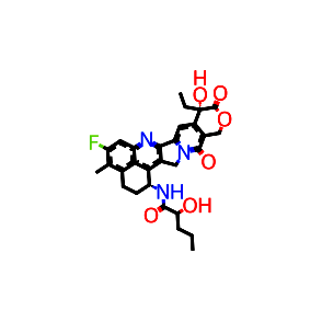 CCCC(O)C(=O)N[C@H]1CCc2c(C)c(F)cc3nc4c(c1c23)Cn1c-4cc2c(c1=O)COC(=O)[C@]2(O)CC